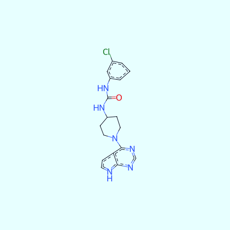 O=C(Nc1cccc(Cl)c1)NC1CCN(c2ncnc3[nH]ccc23)CC1